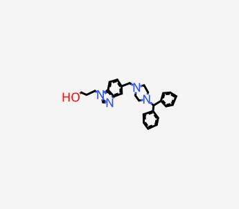 OCCCn1cnc2cc(CN3CCN(C(c4ccccc4)c4ccccc4)CC3)ccc21